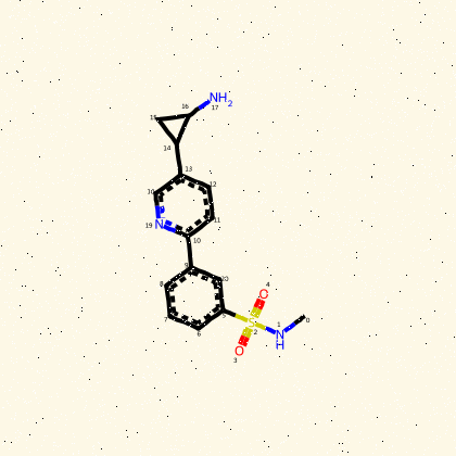 CNS(=O)(=O)c1cccc(-c2ccc(C3CC3N)cn2)c1